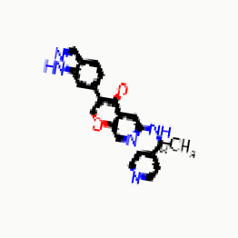 C[C@H](Nc1cc2c(=O)c(-c3ccc4cn[nH]c4c3)coc2cn1)c1ccncc1